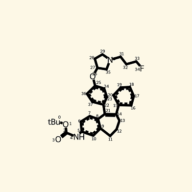 CC(C)(C)OC(=O)Nc1ccc2c(c1)CCCC(c1ccccc1)=C2c1ccc(OC2CCN(CCCF)C2)cc1